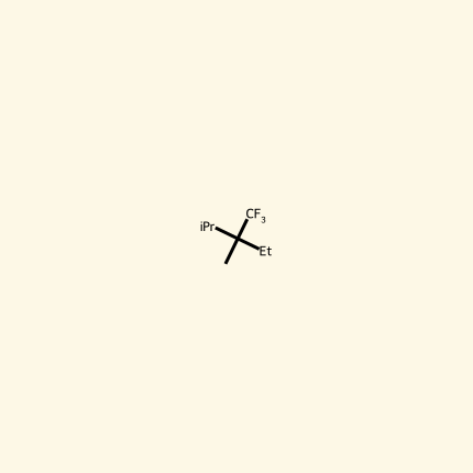 CCC(C)(C(C)C)C(F)(F)F